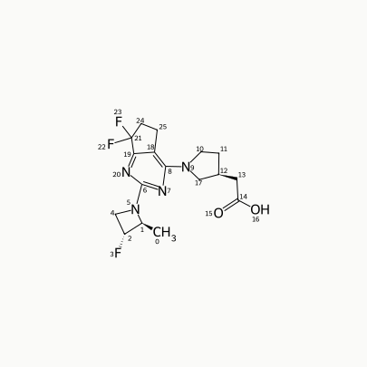 C[C@H]1[C@H](F)CN1c1nc(N2CC[C@@H](CC(=O)O)C2)c2c(n1)C(F)(F)CC2